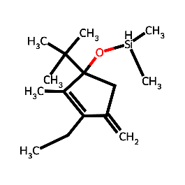 C=C1CC(O[SiH](C)C)(C(C)(C)C)C(C)=C1CC